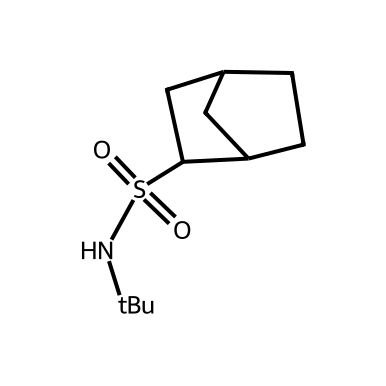 CC(C)(C)NS(=O)(=O)C1CC2CCC1C2